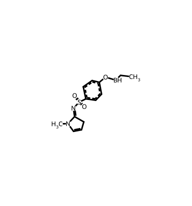 CCBOc1ccc(S(=O)(=O)/N=C2\CC=CN2C)cc1